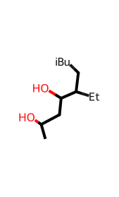 CCC(C)CC(CC)C(O)CC(C)O